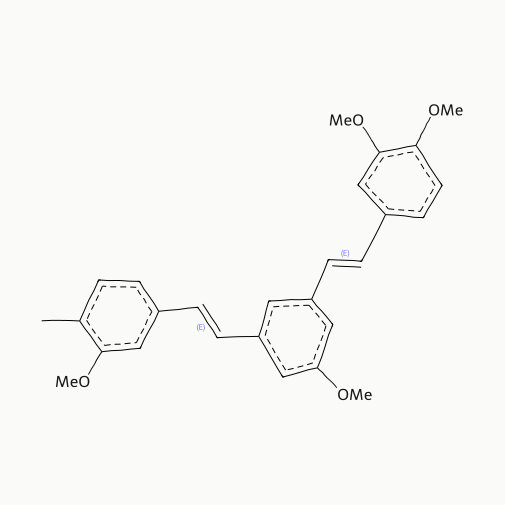 COc1cc(/C=C/c2ccc(C)c(OC)c2)cc(/C=C/c2ccc(OC)c(OC)c2)c1